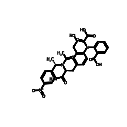 CC(=O)N([C@@H](Cc1ccc(N(C(=O)C(=O)O)c2ccccc2C(=O)O)c(CCO)c1)C(N)=O)[C@@H](C)c1ccc([N+](=O)[O-])cc1